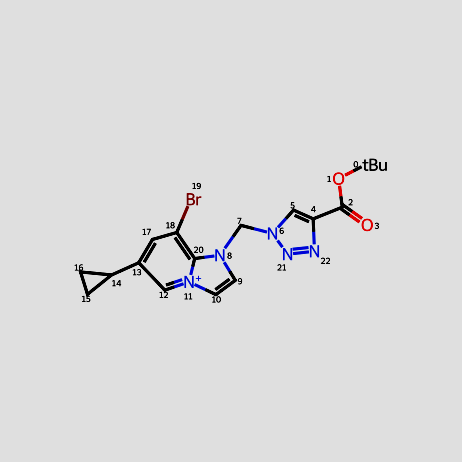 CC(C)(C)OC(=O)c1cn(Cn2cc[n+]3cc(C4CC4)cc(Br)c23)nn1